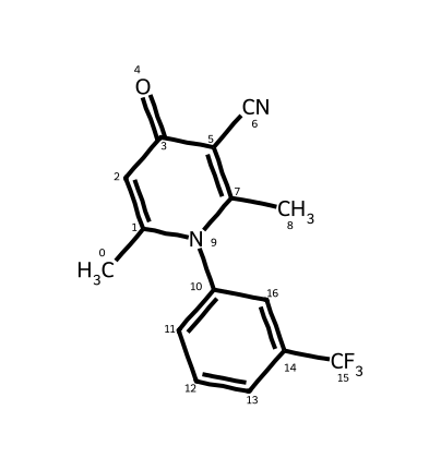 Cc1cc(=O)c(C#N)c(C)n1-c1cccc(C(F)(F)F)c1